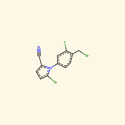 N#Cc1ccc(Br)n1-c1ccc(CBr)c(F)c1